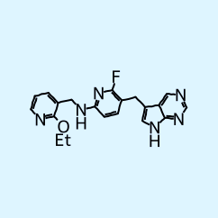 CCOc1ncccc1CNc1ccc(Cc2c[nH]c3ncncc23)c(F)n1